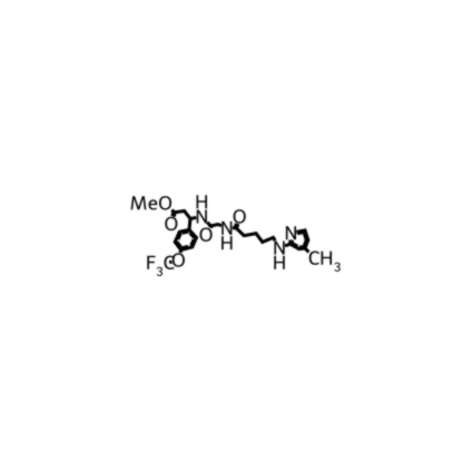 COC(=O)CC(NC(=O)CNC(=O)CCCCNc1cc(C)ccn1)c1ccc(OC(F)(F)F)cc1